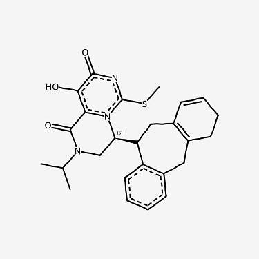 CSc1nc(=O)c(O)c2n1[C@@H](C1CC3=C(CCC=C3)Cc3ccccc31)CN(C(C)C)C2=O